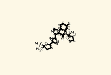 CC1(C)CCC(c2nc(-c3ncn4c3c(=O)n(C3(C)CCCO3)c3cc(F)ccc34)no2)O1